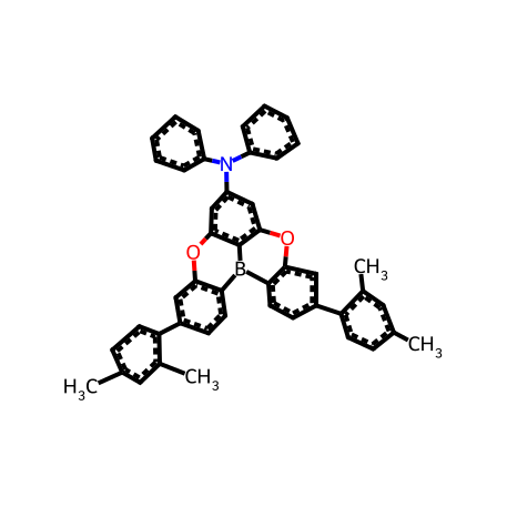 Cc1ccc(-c2ccc3c(c2)Oc2cc(N(c4ccccc4)c4ccccc4)cc4c2B3c2ccc(-c3ccc(C)cc3C)cc2O4)c(C)c1